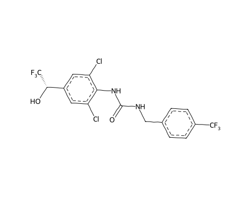 O=C(NCc1ccc(C(F)(F)F)cc1)Nc1c(Cl)cc([C@H](O)C(F)(F)F)cc1Cl